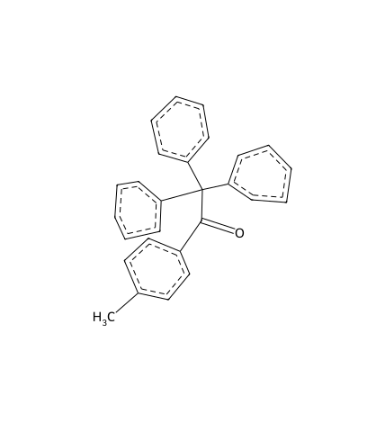 Cc1ccc(C(=O)C(c2ccccc2)(c2ccccc2)c2ccccc2)cc1